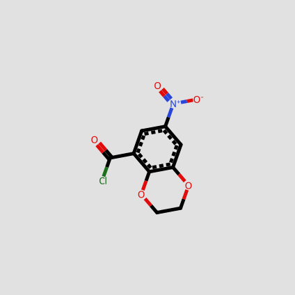 O=C(Cl)c1cc([N+](=O)[O-])cc2c1OCCO2